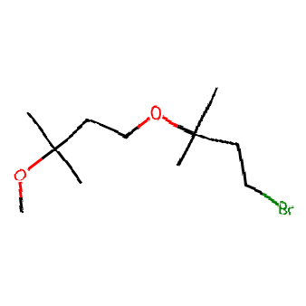 COC(C)(C)CCOC(C)(C)CCBr